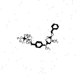 CN(CC(=O)N(C)c1ccc(CO[Si](C)(C)C(C)(C)C)cc1)C(=O)OCc1ccccc1